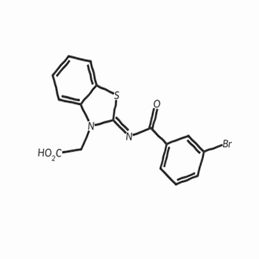 O=C(O)Cn1/c(=N/C(=O)c2cccc(Br)c2)sc2ccccc21